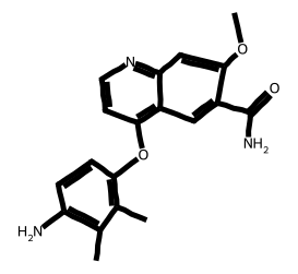 COc1cc2nccc(Oc3ccc(N)c(C)c3C)c2cc1C(N)=O